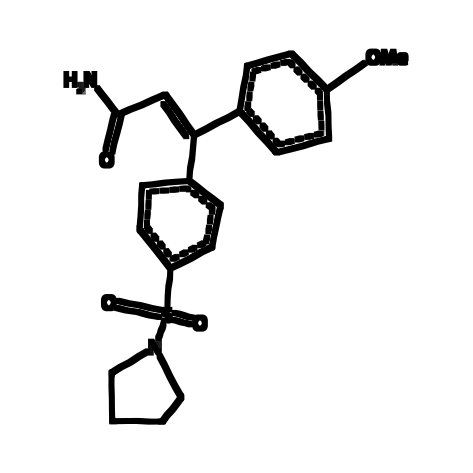 COc1ccc(C(=CC(N)=O)c2ccc(S(=O)(=O)N3CCCC3)cc2)cc1